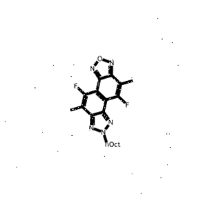 CCCCCCCCn1nc2c(C)c(F)c3c4nonc4c(C)c(F)c3c2n1